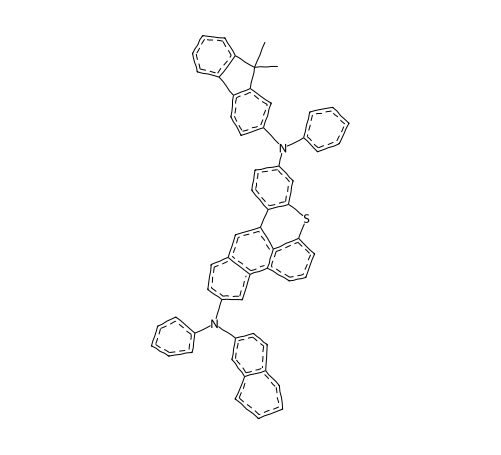 CC1(C)c2ccccc2-c2ccc(N(c3ccccc3)c3ccc4c(c3)Sc3cccc5c3c-4cc3ccc(N(c4ccccc4)c4ccc6ccccc6c4)cc35)cc21